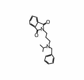 CC(C)N(CCCN1C(=O)c2ccccc2C1=O)Cc1ccccc1